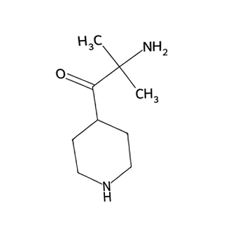 CC(C)(N)C(=O)C1CCNCC1